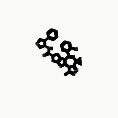 Cc1nnc2n1-c1sc3c(c1C(c1ccccc1Cl)=NC21CC1)C[C@H](C(=O)N[C@H]1COC[C@H]1c1ccccc1)C3